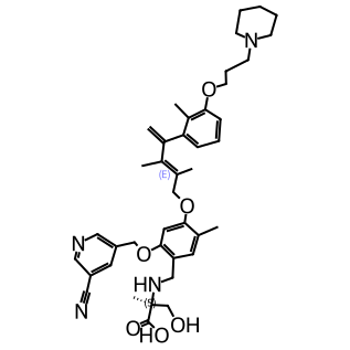 C=C(/C(C)=C(\C)COc1cc(OCc2cncc(C#N)c2)c(CN[C@@](C)(CO)C(=O)O)cc1C)c1cccc(OCCCN2CCCCC2)c1C